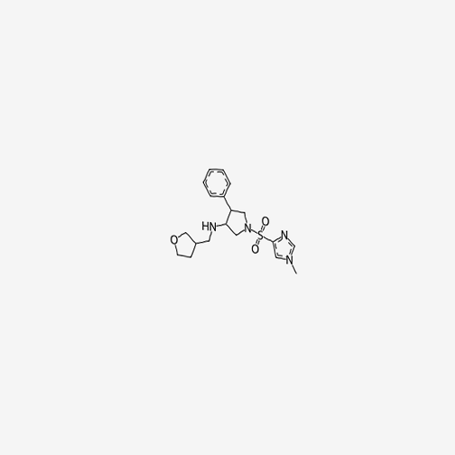 Cn1cnc(S(=O)(=O)N2CC(NCC3CCOC3)C(c3ccccc3)C2)c1